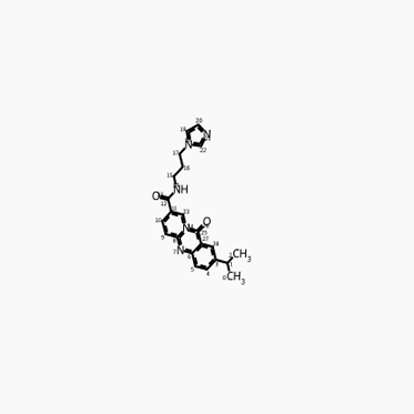 CC(C)c1ccc2nc3ccc(C(=O)NCCCn4ccnc4)cn3c(=O)c2c1